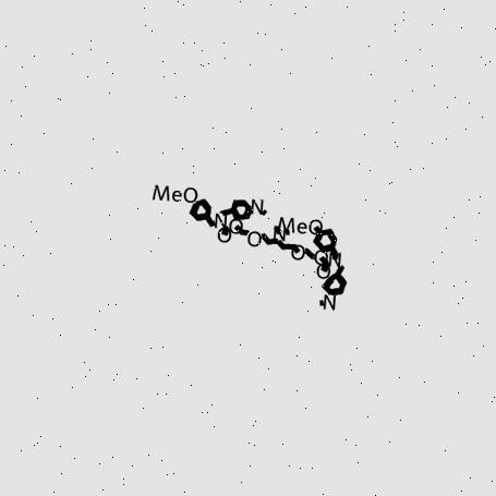 COc1ccc(CN(Cc2ccc(N(C)C)cc2)C(=O)OCCOCCC(CCOCCOC(=O)N(Cc2ccc(OC)cc2)Cc2ccc(N(C)C)cc2)N(C)C)cc1